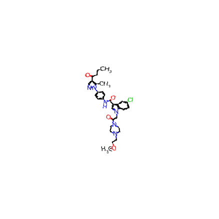 CCCC(=O)c1cnn(-c2ccc(NC(=O)c3cn(CC(=O)N4CCN(CCOC)CC4)c4ccc(Cl)cc34)cc2)c1C